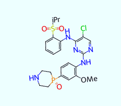 COc1cc(P2(=O)CCNCC2)ccc1Nc1ncc(Cl)c(Nc2ccccc2S(=O)(=O)C(C)C)n1